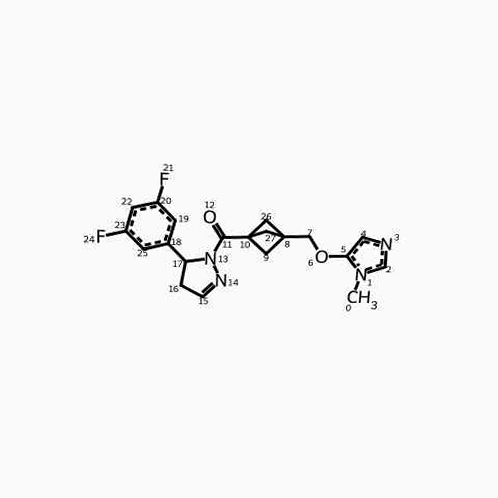 Cn1cncc1OCC12CC(C(=O)N3N=CCC3c3cc(F)cc(F)c3)(C1)C2